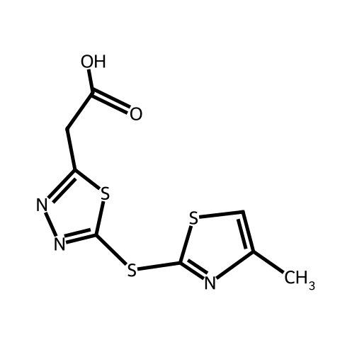 Cc1csc(Sc2nnc(CC(=O)O)s2)n1